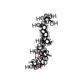 CC1OC(OC2C(O)COC(OC3C(C)OC(OC4C(OC(=O)C56CCC(C)(C)CC5C5=CCC7C8(C)CCC(OC9OC(CO)C(O)C(O)C9O)C(C)(CO)C8CCC7(C)C5(C)CC6O)OCC(O)C4O)C(O)C3O)C2O)C(O)C(O)C1O